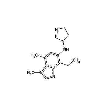 CCc1c(NN2C=NCC2)cc(C)c2c1ncn2C